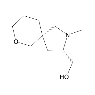 CN1C[C@]2(CCCOC2)C[C@H]1CO